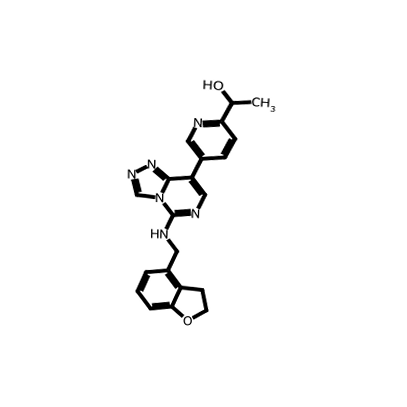 CC(O)c1ccc(-c2cnc(NCc3cccc4c3CCO4)n3cnnc23)cn1